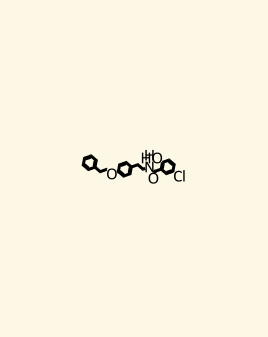 O=C(NCCc1ccc(OCCc2ccccc2)cc1)c1cc(Cl)ccc1O